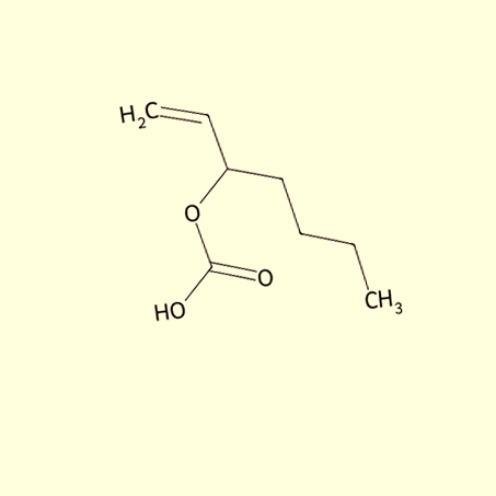 C=CC(CCCC)OC(=O)O